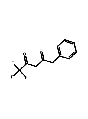 O=C(CC(=O)C(F)(F)F)Cc1ccccc1